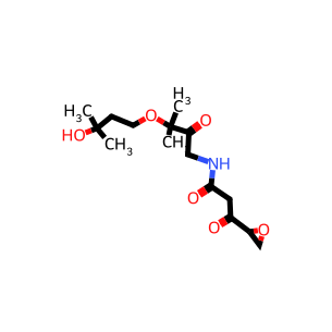 CC(C)(O)CCOC(C)(C)C(=O)CNC(=O)CC(=O)C1CO1